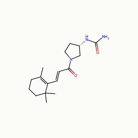 CC1=C(/C=C/C(=O)N2CC[C@H](NC(N)=O)C2)C(C)(C)CCC1